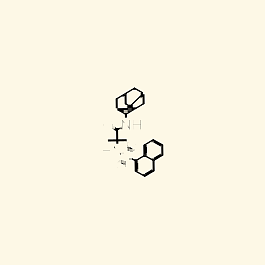 CC(C)(NS(=O)(=O)c1cccc2ccccc12)C(=O)NC1C2CC3CC(C2)CC1C3